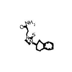 NC(=O)CCn1ccn(C2CCc3ccccc3C2)c1=S